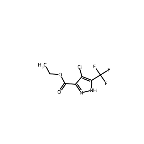 CCOC(=O)c1n[nH]c(C(F)(F)F)c1Cl